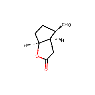 O=C[C@@H]1CC[C@@H]2OC(=O)C[C@H]12